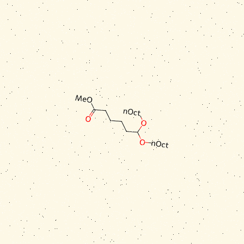 CCCCCCCCOC(CCCCC(=O)OC)OCCCCCCCC